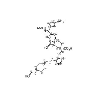 CON=C(C(=O)NC1C(=O)N2CC(CSc3nnnn3CCCN3CCN(CCO)CC3)(C(=O)O)CS[C@H]12)c1csc(N)n1